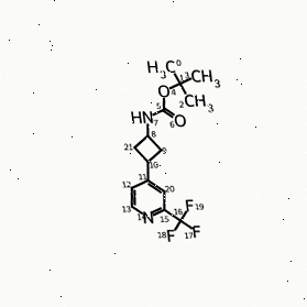 CC(C)(C)OC(=O)NC1CC(c2ccnc(C(F)(F)F)c2)C1